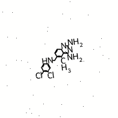 Cc1c(CNc2ccc(Cl)c(Cl)c2)ccc2nc(N)nc(N)c12